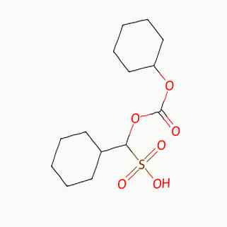 O=C(OC1CCCCC1)OC(C1CCCCC1)S(=O)(=O)O